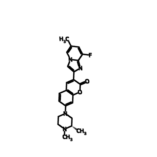 Cc1cc(F)c2nc(-c3cc4ccc(N5CCN(C)[C@@H](C)C5)cc4oc3=O)cn2c1